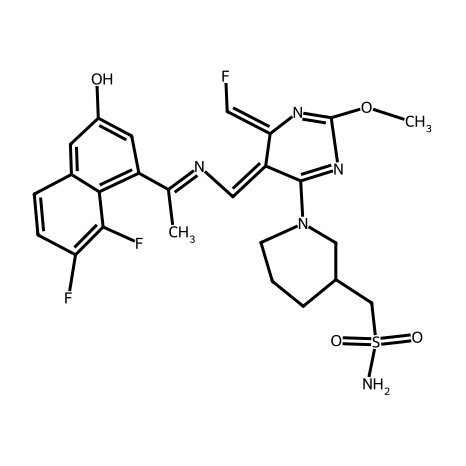 COc1nc(N2CCCC(CS(N)(=O)=O)C2)c(=C/N=C(\C)c2cc(O)cc3ccc(F)c(F)c23)/c(=C/F)n1